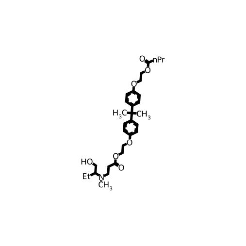 CCCC(=O)OCCOc1ccc(C(C)(C)c2ccc(OCCOC(=O)CCN(C)C(CC)CO)cc2)cc1